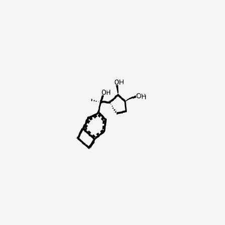 C[C@@](O)(c1ccc2c(c1)CC2)[C@H]1CC[C@H](O)[C@@H]1O